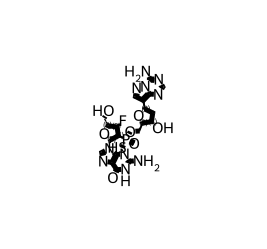 Nc1nc2c(ncn2[C@@H]2O[C@H](CO)[C@@H](F)[C@H]2P(=O)(S)OC[C@H]2O[C@@H](c3cnn4c(N)ncnc34)C[C@@H]2O)c(=O)[nH]1